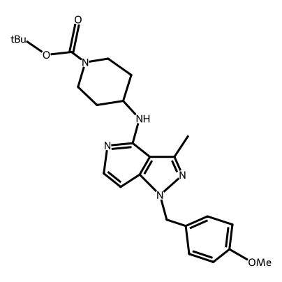 COc1ccc(Cn2nc(C)c3c(NC4CCN(C(=O)OC(C)(C)C)CC4)nccc32)cc1